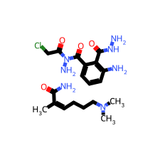 CC(=CCCCN(C)C)C(N)=O.NNC(=O)c1c(N)cccc1C(=O)N(N)C(=O)CCl